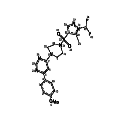 COc1ccc(-c2cc(N3CCN(S(=O)(=O)c4cnn(C(F)F)c4C)CC3)ncn2)cc1